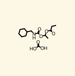 CCC(=O)OC(C)OC(=O)NCC1CCCCC1.O=C(O)O